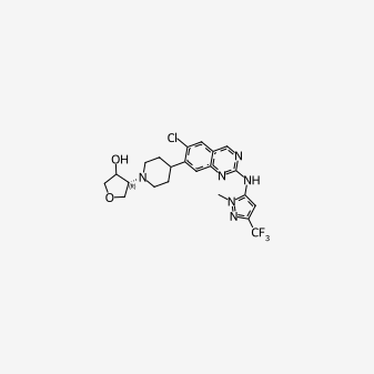 Cn1nc(C(F)(F)F)cc1Nc1ncc2cc(Cl)c(C3CCN([C@@H]4COCC4O)CC3)cc2n1